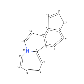 C1=CC=C2c3ccc4c(c3C=CN2C=C1)C=CC4